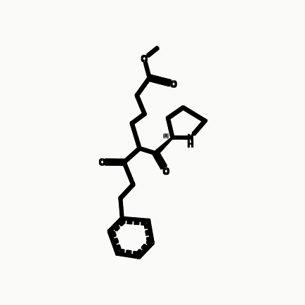 COC(=O)CCCC(C(=O)CCc1ccccc1)C(=O)[C@H]1CCCN1